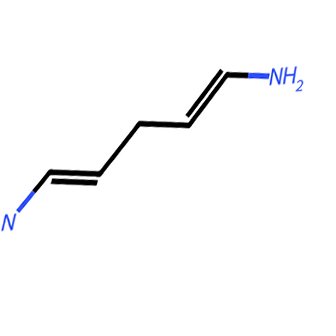 N/C=C/C/C=C/N